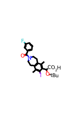 Cc1c(I)c(C(OC(C)(C)C)C(=O)O)c(C)c2c1CCN(C(=O)c1cccc(F)c1)CC2